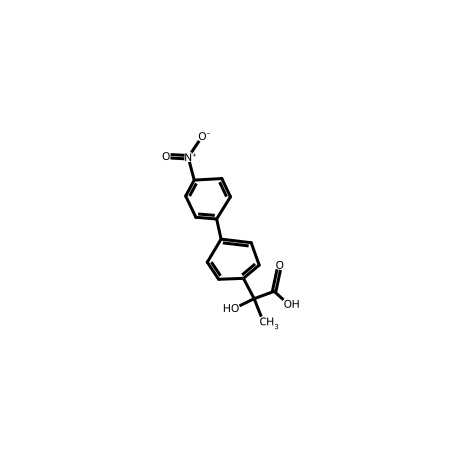 CC(O)(C(=O)O)c1ccc(-c2ccc([N+](=O)[O-])cc2)cc1